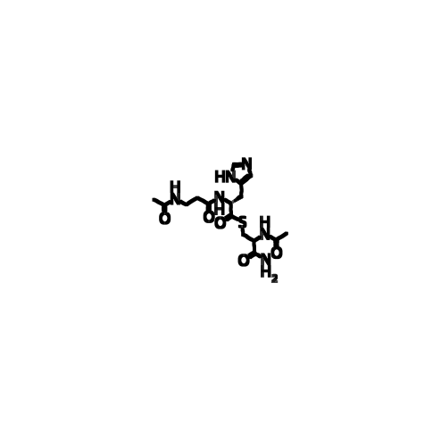 CC(=O)NCCC(=O)N[C@@H](Cc1cnc[nH]1)C(=O)SCC(NC(C)=O)C(N)=O